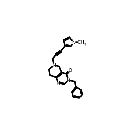 Cn1ccc(C#CCN2CCc3ncn(Cc4ccccc4)c(=O)c3C2)c1